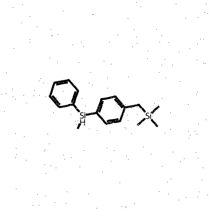 C[SiH](c1ccccc1)c1ccc(C[Si](C)(C)C)cc1